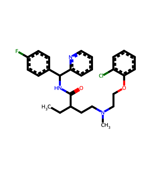 CCC(CCN(C)CCOc1ccccc1Cl)C(=O)NC(c1ccc(F)cc1)c1ccccn1